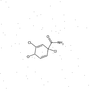 NC(=O)C1(Cl)C=CC([O])C(Cl)=C1